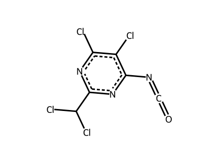 O=C=Nc1nc(C(Cl)Cl)nc(Cl)c1Cl